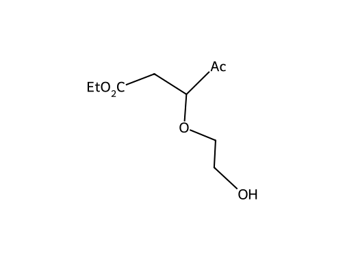 CCOC(=O)CC(OCCO)C(C)=O